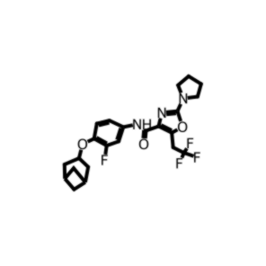 O=C(Nc1ccc(OC2CC3CC(C3)C2)c(F)c1)c1nc(N2CCCC2)oc1CC(F)(F)F